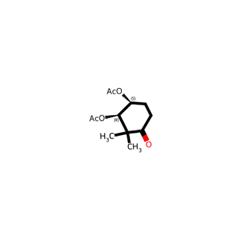 CC(=O)O[C@H]1CCC(=O)C(C)(C)[C@H]1OC(C)=O